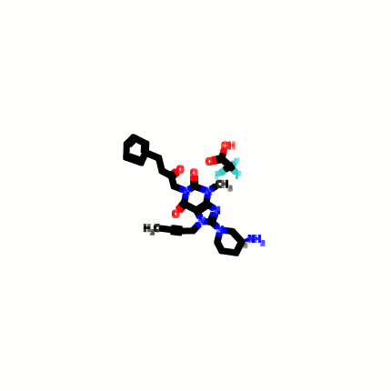 CC#CCn1c(N2CCC[C@@H](N)C2)nc2c1c(=O)n(CC(=O)CCc1ccccc1)c(=O)n2C.O=C(O)C(F)(F)F